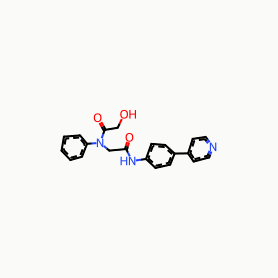 O=C(CN(C(=O)CO)c1ccccc1)Nc1ccc(-c2ccncc2)cc1